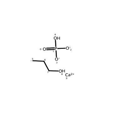 O=P([O-])([O-])O.[CH2]CCO.[Ca+2]